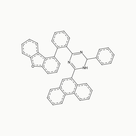 c1ccc(C2N=C(c3ccccc3-c3cccc4oc5ccccc5c34)N=C(c3cc4ccccc4c4ccccc34)N2)cc1